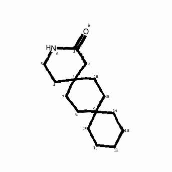 O=C1CC2(CCN1)CCC1(CCCCC1)CC2